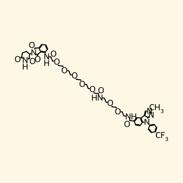 Cn1cc2c3cc(C(=O)NCCOCCOCCNC(=O)COCCOCCOCCOCCOCC(=O)Nc4cccc5c4C(=O)N(C4CCC(=O)NC4=O)C5=O)ccc3n(-c3ccc(C(F)(F)F)cc3)c2n1